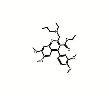 CCCN(CC)Cc1nc2cc(OC)c(OC)cc2c(-c2ccc(OC)c(OC)c2)c1C(=O)OCC